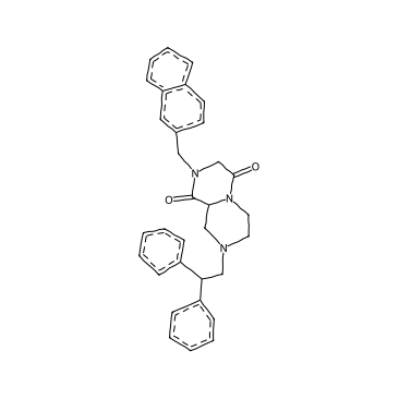 O=C1C2CN(CC(c3ccccc3)c3ccccc3)CCN2C(=O)CN1Cc1ccc2ccccc2c1